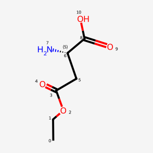 CCOC(=O)C[C@H](N)C(=O)O